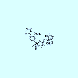 COc1cc(-c2n[nH]c3ccc(O[C@H](C)c4c(Cl)cncc4Cl)cc23)cnc1N1CCOCC1